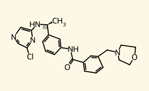 C[C@H](Nc1cncc(Cl)n1)c1cccc(NC(=O)c2cccc(CN3CCOCC3)c2)c1